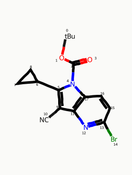 CC(C)(C)OC(=O)n1c(C2CC2)c(C#N)c2nc(Br)ccc21